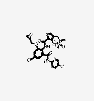 CN(Cc1csc(C(=O)Nc2c(OCC3CO3)cc(Cl)cc2C(=O)Nc2ccc(Cl)cn2)c1Cl)S(C)(=O)=O